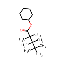 CC(C)(C)C(C)(C)C(C)(C)C(=O)OC1CCCCC1